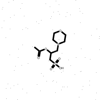 CC(=O)OC(CN1CCOCC1)CS(=O)(=O)O